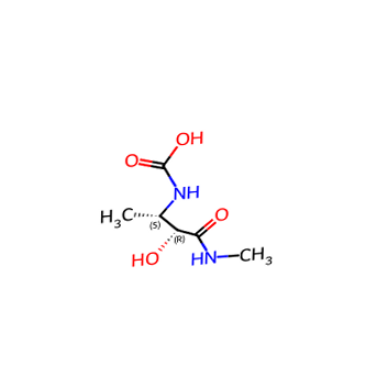 CNC(=O)[C@H](O)[C@H](C)NC(=O)O